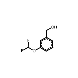 OCc1c[c]cc(OC(F)F)c1